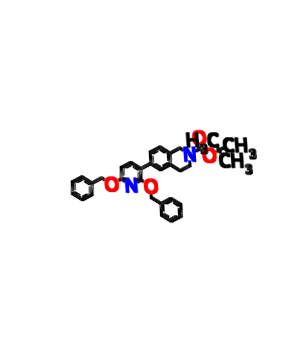 CC(C)(C)OC(=O)N1CCc2cc(-c3ccc(OCc4ccccc4)nc3OCc3ccccc3)ccc2C1